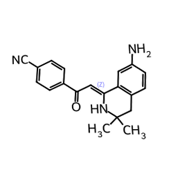 CC1(C)Cc2ccc(N)cc2/C(=C/C(=O)c2ccc(C#N)cc2)N1